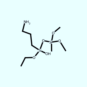 CCO[Si](O)(CCCN)O[Si](C)(OC)OC